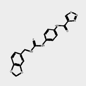 O=C(Nc1ccc(NC(=S)NCc2ccc3c(c2)OCO3)cc1)c1csnn1